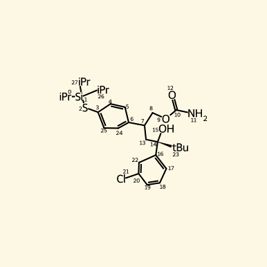 CC(C)[Si](Sc1ccc(C(COC(N)=O)C[C@](O)(c2cccc(Cl)c2)C(C)(C)C)cc1)(C(C)C)C(C)C